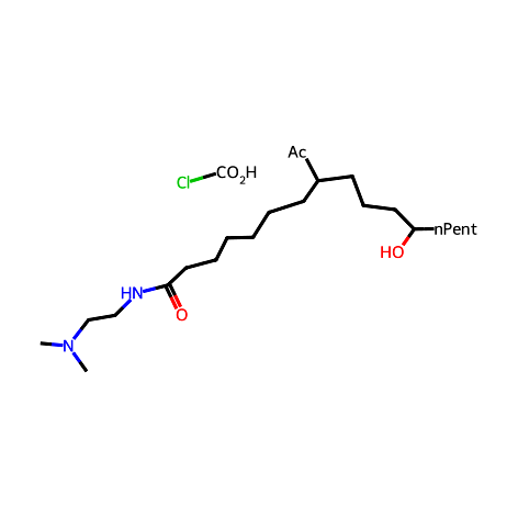 CCCCCC(O)CCCC(CCCCCCC(=O)NCCN(C)C)C(C)=O.O=C(O)Cl